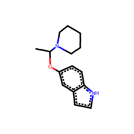 CC(Oc1ccc2[nH]ccc2c1)N1CCCCC1